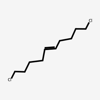 ClCCCC/C=C/CCCCCl